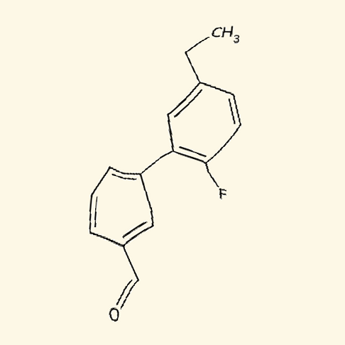 CCc1ccc(F)c(-c2cccc(C=O)c2)c1